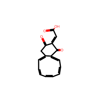 O=C(O)/C=C1\C(=O)Cc2ccccccccc2C1=O